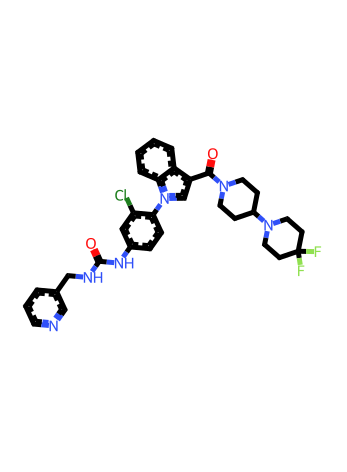 O=C(NCc1cccnc1)Nc1ccc(-n2cc(C(=O)N3CCC(N4CCC(F)(F)CC4)CC3)c3ccccc32)c(Cl)c1